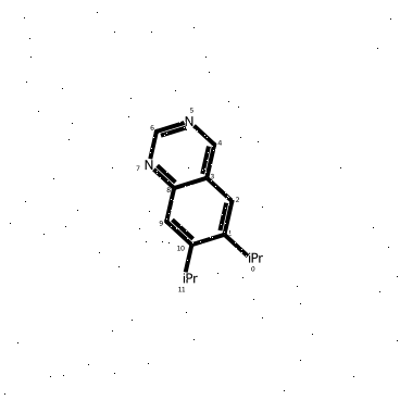 CC(C)c1cc2cncnc2cc1C(C)C